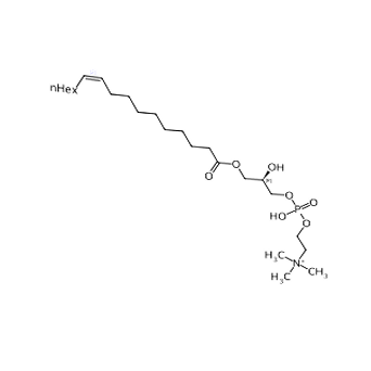 CCCCCC/C=C\CCCCCCCCC(=O)OC[C@@H](O)COP(=O)(O)OCC[N+](C)(C)C